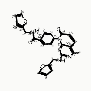 Cc1nc(NCc2ccco2)nc2c1ccc(=O)n2-c1ccc(C(=O)NCc2ccco2)cc1